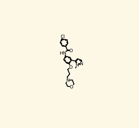 Cn1nccc1-c1cc(NC(=O)c2ccc(Cl)cc2)ccc1OCCCN1CCOCC1